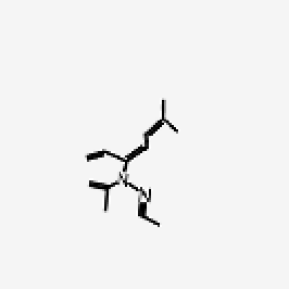 C=C/C(=C\C=C(C)C)N(/N=C/C)C(=C)C